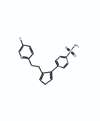 NS(=O)(=O)c1ccc(C2=CCC=C2CCc2ccc(F)cn2)cc1